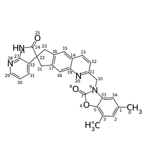 Cc1cc(C)c2oc(=O)n(Cc3ccc4cc5c(cc4n3)CC3(C5)C(=O)Nc4ncccc43)c2c1